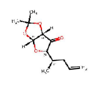 C=CC[C@@H](C)[C@@H]1O[C@@H]2OC(C)(C)O[C@@H]2C1=O